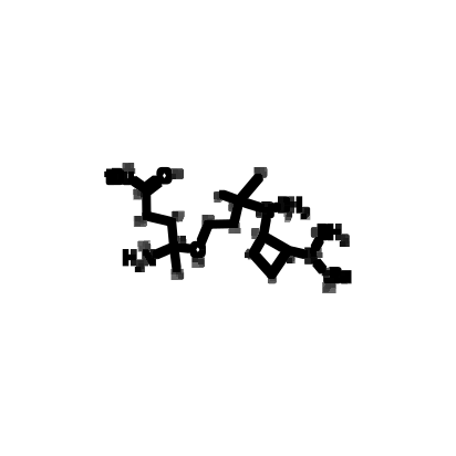 BB(C1CCC1B(B)C(C)(C)CCOC(C)(N)CCC(=O)C(C)(C)C)C(C)(C)C